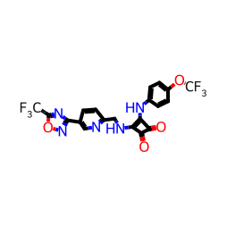 O=c1c(NCc2ccc(-c3noc(C(F)(F)F)n3)cn2)c(Nc2ccc(OC(F)(F)F)cc2)c1=O